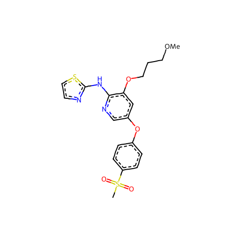 COCCCOc1cc(Oc2ccc(S(C)(=O)=O)cc2)cnc1Nc1nccs1